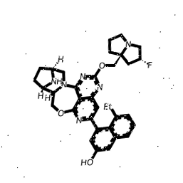 CCc1cccc2cc(O)cc(-c3cc4nc(OC[C@@]56CCCN5C[C@H](F)C6)nc5c4c(n3)OC[C@@H]3[C@H]4CC[C@@H](CN53)N4)c12